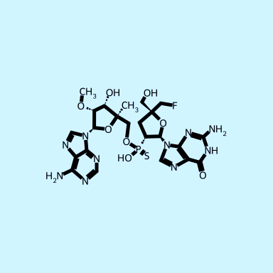 CO[C@H]1[C@@H](n2cnc3c(N)ncnc32)O[C@](C)(COP(O)(=S)[C@@H]2C[C@](CO)(CF)O[C@H]2n2cnc3c(=O)[nH]c(N)nc32)[C@H]1O